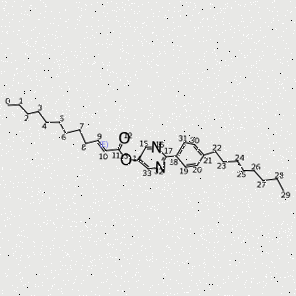 CCCCCCCCC/C=C/C(=O)Oc1cnc(-c2ccc(CCCCCCCC)cc2)nc1